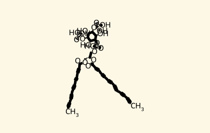 CC#CC#CC#CC#CC#CC#CC(=O)O[C@H](COC(=O)C#CC#CC#CC#CC#CC)COP(=O)(O)OC1C(O)[C@@H](OP(=O)(O)O)C(O)[C@@H](OP(=O)(O)O)[C@H]1O